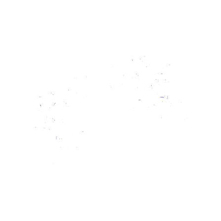 COC(=O)N[C@H](C(=O)N1[C@@H]2CC[C@@H](C2)[C@H]1c1ncc(-c2ccc(-c3ccc(-c4cnc([C@@H]5[C@H]6CC[C@H](C6)N5C(=O)[C@@H](NC(=O)OC)[C@H](C)OC)[nH]4)cc3)cc2)[nH]1)C(C)C